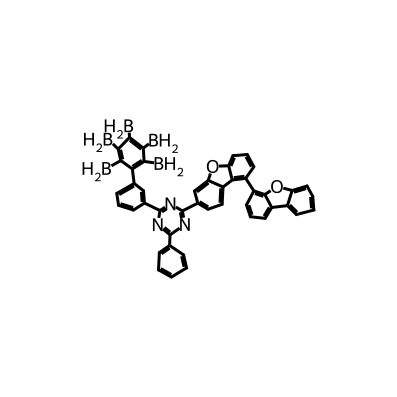 Bc1c(B)c(B)c(-c2cccc(-c3nc(-c4ccccc4)nc(-c4ccc5c(c4)oc4cccc(-c6cccc7c6oc6ccccc67)c45)n3)c2)c(B)c1B